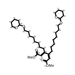 COC(=O)C=C(CCCCCCCCOC1CCCCO1)C(=CC(=O)OC)CCCCCCCCOC1CCCCO1